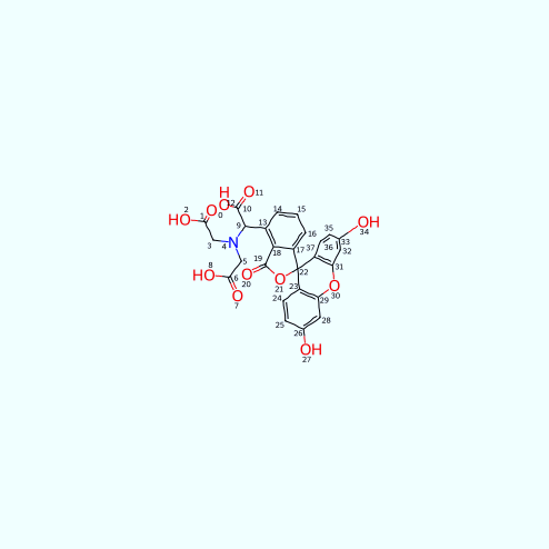 O=C(O)CN(CC(=O)O)C(C(=O)O)c1cccc2c1C(=O)OC21c2ccc(O)cc2Oc2cc(O)ccc21